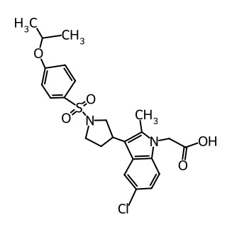 Cc1c(C2CCN(S(=O)(=O)c3ccc(OC(C)C)cc3)C2)c2cc(Cl)ccc2n1CC(=O)O